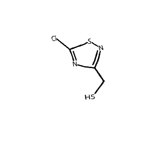 SCc1nsc(Cl)n1